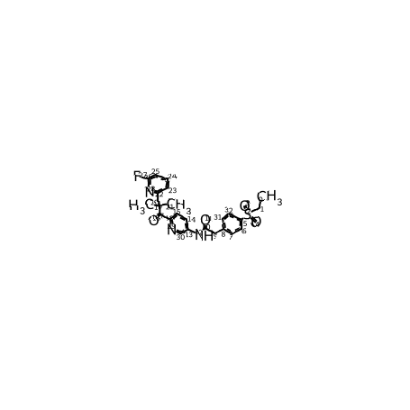 CCS(=O)(=O)c1ccc(CC(=O)Nc2ccc(C(=O)C(C)(C)c3cccc(F)n3)nc2)cc1